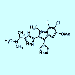 COc1cc2c(-n3ccnc3)c(-c3nnc([C@H](C)N(C)C)[nH]3)n(C)c2c(F)c1Cl